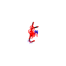 CCCCC/C=C\C/C=C\CCCCCCC(CC(COC(=O)CCCCC(OCCCCCCCC)OCCCCCCCC)COC(=O)OCCCN(CC)CC)C(=O)O